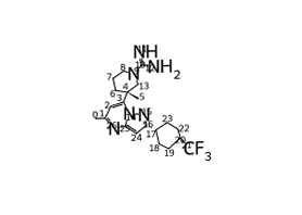 Cc1cc([C@]2(C)CCCN(C(=N)N)C2)n2nc([C@H]3CC[C@H](C(F)(F)F)CC3)cc2n1